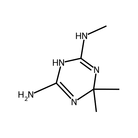 CNC1=NC(C)(C)N=C(N)N1